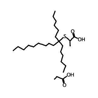 CCC(=O)O.CCCCCCCCCC(CCCCCC)(CCCCCC)SC(C)C(=O)O